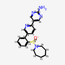 Nc1ncc(-c2ccc(-c3ccccc3[S+]([O-])N3CCCCCC3)cn2)cn1